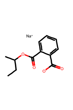 CCC(C)OC(=O)c1ccccc1C(=O)[O-].[Na+]